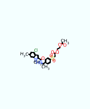 CC(=O)OCCOC(=O)CS(=O)(=O)c1ccc([C@@H](C)NC(=O)c2cc3c(Cl)cc(C)cc3n2C)cc1